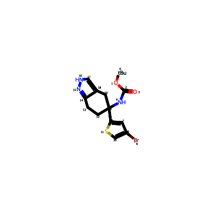 CC(C)(C)OC(=O)NC1(c2cc(Br)cs2)CCc2n[nH]cc2C1